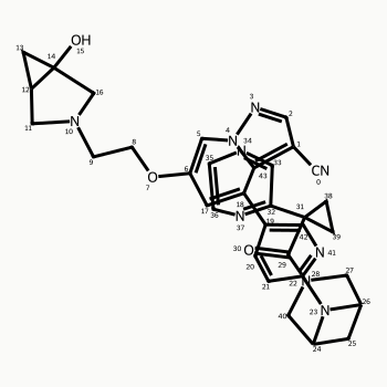 N#Cc1cnn2cc(OCCN3CC4CC4(O)C3)cc(-c3ccc(N4C5CC4CN(C(=O)C4(c6cnccn6)CC4)C5)nc3)c12